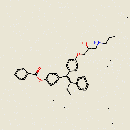 CCCNCC(O)COc1ccc(/C(=C(/CC)c2ccccc2)c2ccc(OC(=O)c3ccccc3)cc2)cc1